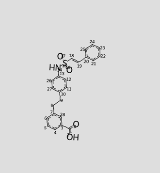 O=C(O)c1cccc(CCc2ccc(NS(=O)(=O)C=Cc3ccccc3)cc2)c1